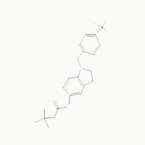 CC(C)(C)CC(=O)Nc1ccc2c(c1)CCN2Cc1ccc(C(F)(F)F)cc1